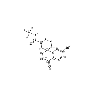 CC(C)(C)OC(=O)N1CCCC2(CNC(=O)c3ccc(Br)cc32)C1